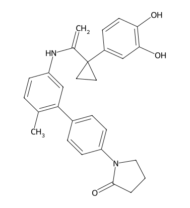 C=C(Nc1ccc(C)c(-c2ccc(N3CCCC3=O)cc2)c1)C1(c2ccc(O)c(O)c2)CC1